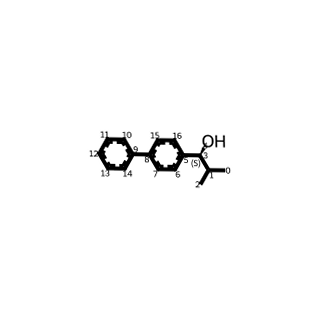 CC(C)[C@H](O)c1ccc(-c2ccccc2)cc1